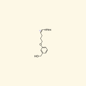 CCCCCC/C=C\CCCOc1cccc(CO)c1